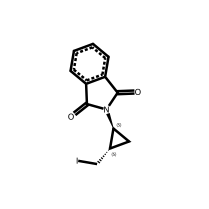 O=C1c2ccccc2C(=O)N1[C@H]1C[C@@H]1CI